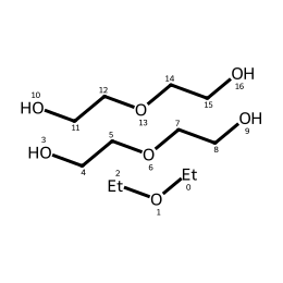 CCOCC.OCCOCCO.OCCOCCO